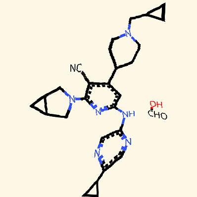 N#Cc1c(C2CCN(CC3CC3)CC2)cc(Nc2cnc(C3CC3)cn2)nc1N1CC2CC2C1.O=CO